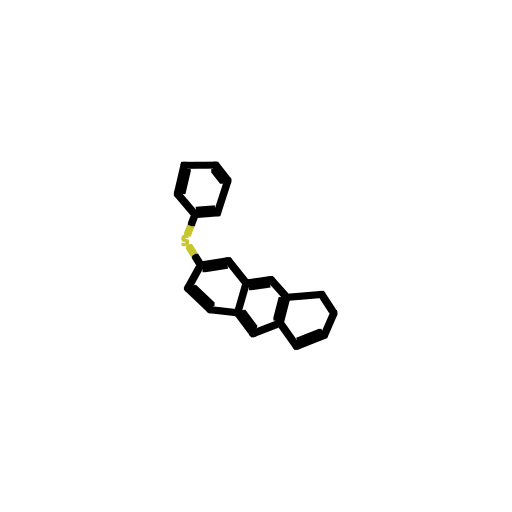 C1=Cc2cc3ccc(Sc4ccccc4)cc3cc2CC1